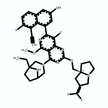 C#Cc1c(F)ccc2cc(O)cc(-c3nc(OC)c4c(N5CC6CCC(CC)(C5)N6)nc(OC[C@@]56CCCN5CC(=C(F)F)C6)nc4c3F)c12